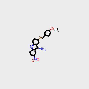 COc1ccc(CSc2ccc3nc4ccc([N+](=O)[O-])cc4c(N)c3c2)cc1